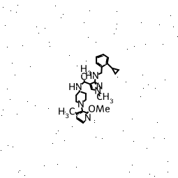 COc1nccc(C)c1N1CCC(NC(C)c2cn(C)nc2NCc2ccccc2C2CC2)CC1